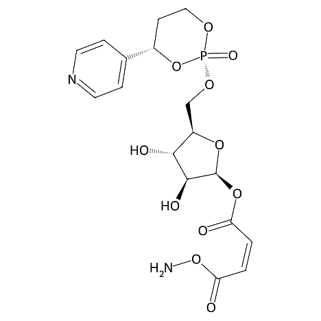 NOC(=O)/C=C\C(=O)O[C@@H]1O[C@H](CO[P@@]2(=O)OCC[C@@H](c3ccncc3)O2)[C@@H](O)[C@@H]1O